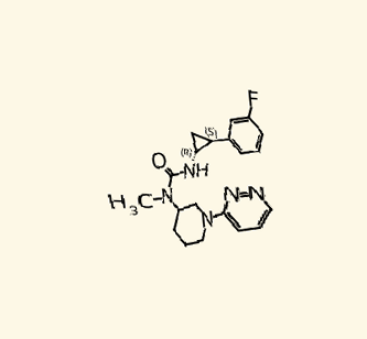 CN(C(=O)N[C@@H]1C[C@H]1c1cccc(F)c1)C1CCCN(c2cccnn2)C1